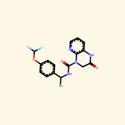 CCC(NC(=O)N1CC(=O)Nc2cccnc21)c1ccc(OC(F)F)cc1